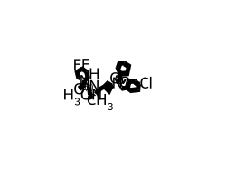 CC1(C)N=C(C23CC(N(Cc4ccc(Cl)cc4)S(=O)(=O)c4ccccc4)(C2)C3)N[C@H]1C(=O)N1CCC(F)(F)CC1